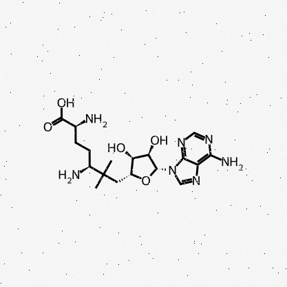 CC(C)(C[C@H]1O[C@@H](n2cnc3c(N)ncnc32)[C@H](O)[C@@H]1O)[C@@H](N)CC[C@H](N)C(=O)O